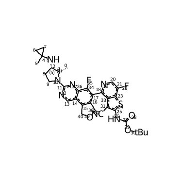 C[C@H]1[C@@H](NC2(C)CC2)CCN1c1ncc2c3c(c(-c4ncc(F)c5sc(NC(=O)OC(C)(C)C)c(C#N)c45)c(F)c2n1)COC3